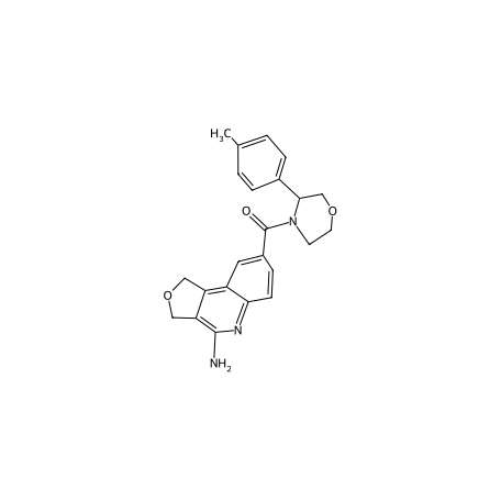 Cc1ccc(C2COCCN2C(=O)c2ccc3nc(N)c4c(c3c2)COC4)cc1